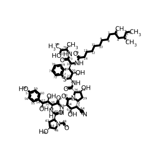 CCC(C)CC(C)CCCCCCCCC(=O)N[C@@H](C[C@@H](O)[C@H](NC(=O)[C@@H]1[C@@H](O)CCN1C(=O)[C@@H](NC(=O)[C@@H](NC(=O)[C@@H]1C[C@@H](O)CN1C=O)[C@H](O)[C@@H](O)c1ccc(O)cc1)[C@H](O)CC#N)Sc1ccccc1)C(=O)N[C@H](C)[C@@H](C)O